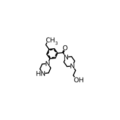 CCc1cc(C(=O)N2CCN(CCO)CC2)cc(N2CCNCC2)c1